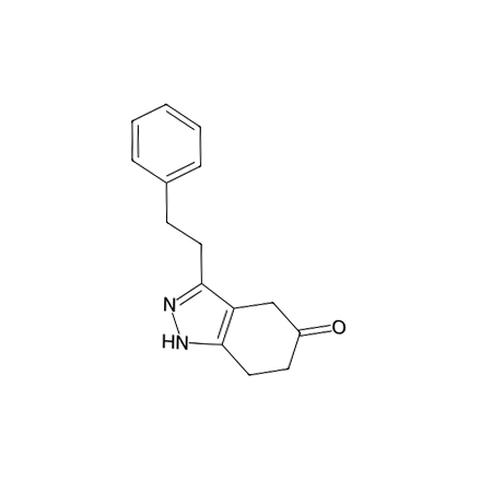 O=C1CCc2[nH]nc(CCc3ccccc3)c2C1